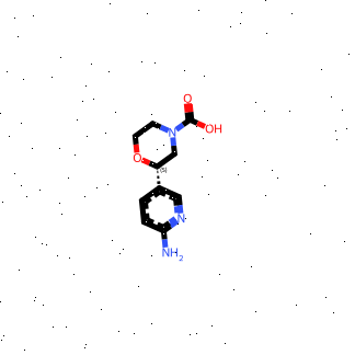 Nc1ccc([C@H]2CN(C(=O)O)CCO2)cn1